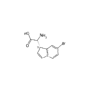 NC(C(=O)O)[C@H]1C=Cc2ccc(Br)cc21